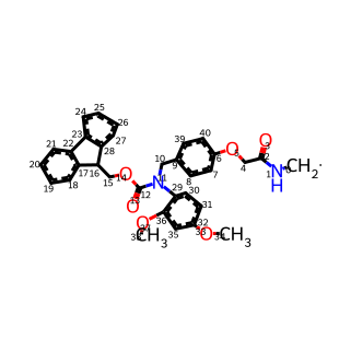 [CH2]NC(=O)COc1ccc(CN(C(=O)OCC2c3ccccc3-c3ccccc32)c2ccc(OC)cc2OC)cc1